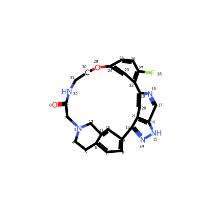 O=C1CN2CCc3ccc(cc3C2)-c2n[nH]c3cnc(cc23)-c2cc(ccc2F)OCCN1